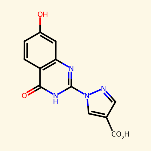 O=C(O)c1cnn(-c2nc3cc(O)ccc3c(=O)[nH]2)c1